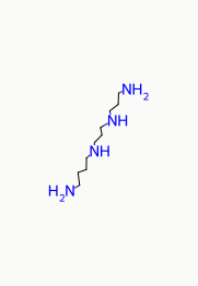 NCCCCNCCCNCCCN